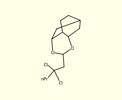 [CH2]CCC(Cl)(Cl)C[C]1OC2CC3CCC2C(C3)O1